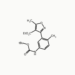 CCOC(=O)c1c(-c2cc(NC(=O)OC(C)(C)C)ccc2C)noc1C